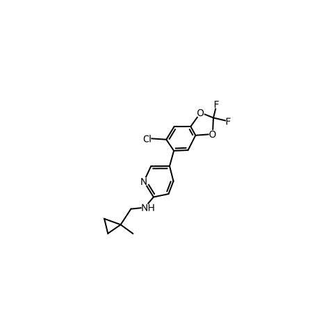 CC1(CNc2ccc(-c3cc4c(cc3Cl)OC(F)(F)O4)cn2)CC1